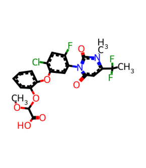 COC(Oc1ccccc1Oc1cc(-n2c(=O)cc(C(C)(F)F)n(C)c2=O)c(F)cc1Cl)C(=O)O